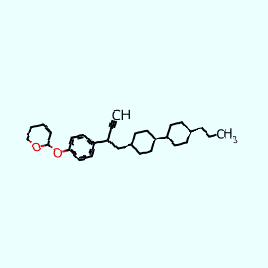 C#CC(CC1CCC(C2CCC(CCC)CC2)CC1)c1ccc(OC2CCCCO2)cc1